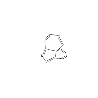 [C]1=CC23C=CC=CC2=CN=C3C=C1